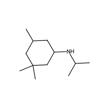 CC1CC(NC(C)C)CC(C)(C)C1